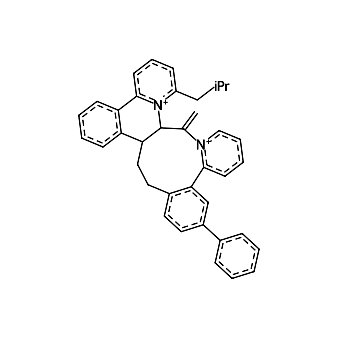 C=C1C2C(CCc3ccc(-c4ccccc4)cc3-c3cccc[n+]31)c1ccccc1-c1cccc(CC(C)C)[n+]12